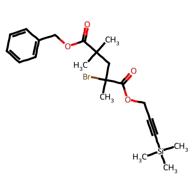 CC(C)(CC(C)(Br)C(=O)OCC#C[Si](C)(C)C)C(=O)OCc1ccccc1